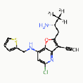 [2H]C([2H])([2H])[C@@H](N)Cc1oc2c(NCc3cccs3)cc(Cl)nc2c1C#C